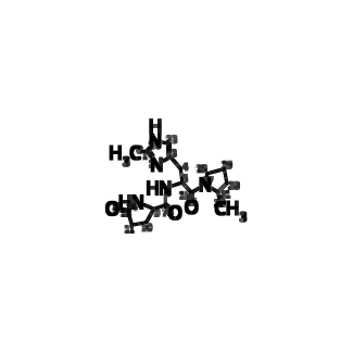 Cc1nc(CC(NC(=O)C2CCC(=O)N2)C(=O)N2CCCC2C)c[nH]1